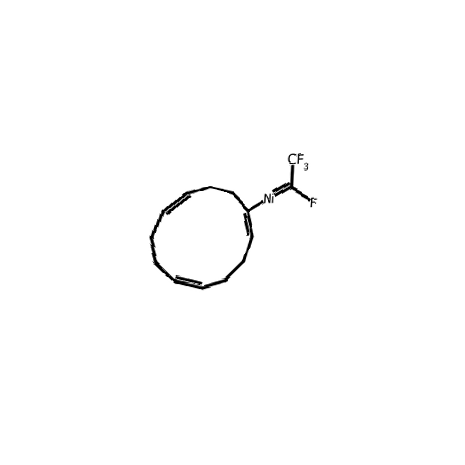 F[C](=[Ni][C]1=CCCC=CCCC=CCC1)C(F)(F)F